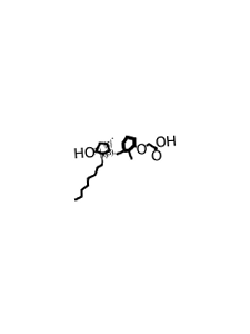 CCCCCCCC[C@@H]1[C@@H](Cc2cccc(OCC(=O)O)c2C)[C@@H](C)C[C@H]1O